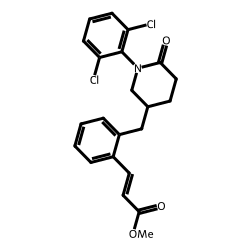 COC(=O)C=Cc1ccccc1CC1CCC(=O)N(c2c(Cl)cccc2Cl)C1